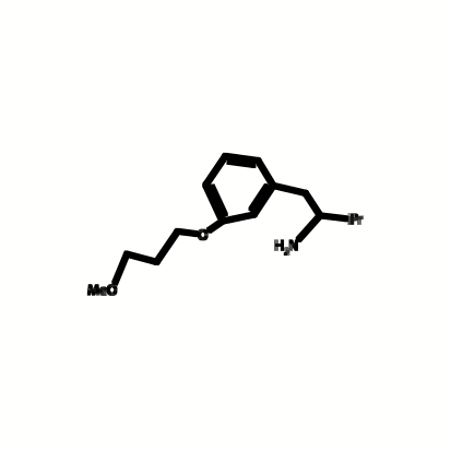 COCCCOc1cccc(CC(N)C(C)C)c1